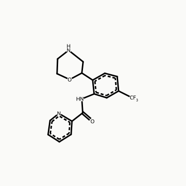 O=C(Nc1cc(C(F)(F)F)ccc1C1CNCCO1)c1ccccn1